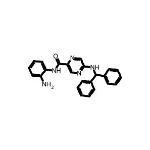 Nc1ccccc1NC(=O)c1cnc(NC(c2ccccc2)c2ccccc2)cn1